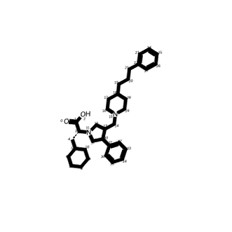 O=C(O)[C@@H](CC1CCCCC1)N1CC(CN2CCC(CCCc3ccccc3)CC2)C(c2ccccc2)C1